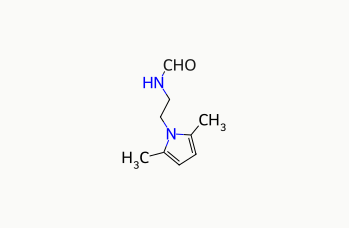 Cc1ccc(C)n1CCNC=O